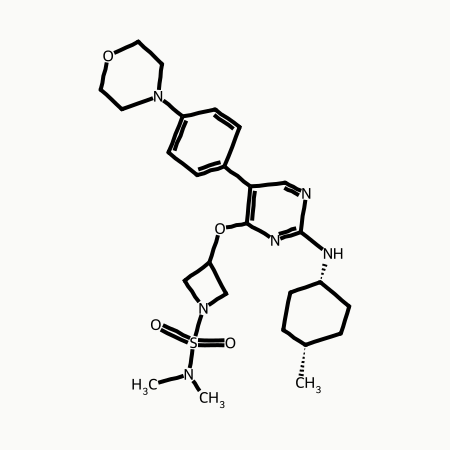 CN(C)S(=O)(=O)N1CC(Oc2nc(N[C@H]3CC[C@@H](C)CC3)ncc2-c2ccc(N3CCOCC3)cc2)C1